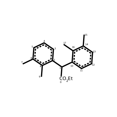 CCOC(=O)C(c1cccc(C)c1C)c1cccc(C)c1C